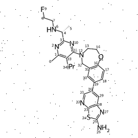 Cc1nc([C@@H](C)NCCF)nc(N2CCOc3ccc(-c4cnc5sc(N)nc5c4)cc3C2)c1C(C)C